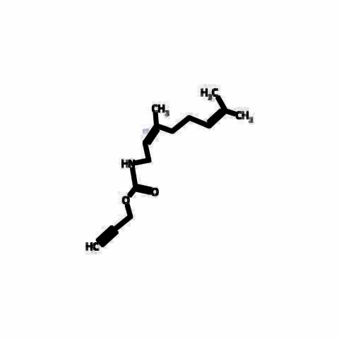 C#CCOC(=O)NC/C=C(/C)CCC=C(C)C